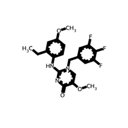 CCc1cc(OC)ccc1Nc1nc(=O)c(OC)cn1Cc1cc(F)c(F)c(F)c1